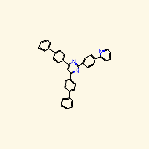 c1ccc(-c2ccc(-c3cc(-c4ccc(-c5ccccc5)cc4)nc(-c4ccc(-c5ccccn5)cc4)n3)cc2)cc1